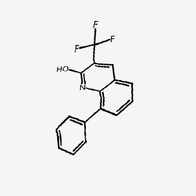 Oc1nc2c(-c3ccccc3)cccc2cc1C(F)(F)F